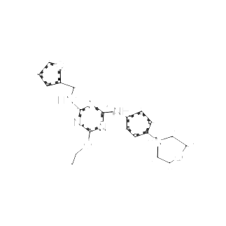 CCOc1nc(NCc2ccco2)nc(Nc2ccc(N3CCOCC3)cc2)n1